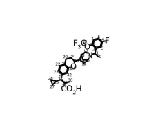 CC(c1cc(F)ccc1OC(F)(F)F)N1CC2CC1CC2C1CCc2ccc([C@H](C3CC3)[C@H](C)C(=O)O)cc2O1